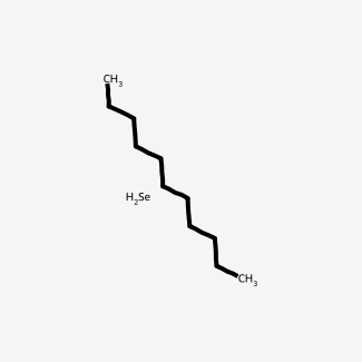 CCCCCCCCCCC.[SeH2]